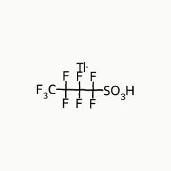 O=S(=O)(O)C(F)(F)C(F)(F)C(F)(F)C(F)(F)F.[Tl]